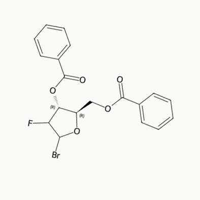 O=C(OC[C@H]1OC(Br)C(F)[C@@H]1OC(=O)c1ccccc1)c1ccccc1